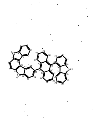 c1ccc2c(c1)oc1ccc3oc4ccc(-c5c6ccccc6c(-c6cccc7sc8ccccc8c67)c6ccccc56)cc4c3c12